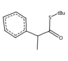 CC(C(=O)SC(C)(C)C)c1ccccc1